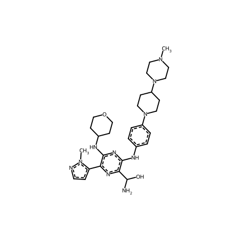 CN1CCN(C2CCN(c3ccc(Nc4nc(NC5CCOCC5)c(-c5ccnn5C)nc4C(N)O)cc3)CC2)CC1